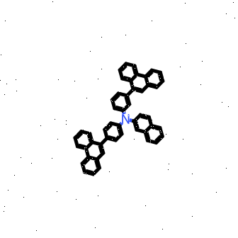 c1cc(-c2cc3ccccc3c3ccccc23)cc(N(c2ccc(-c3cc4ccccc4c4ccccc34)cc2)c2ccc3ccccc3c2)c1